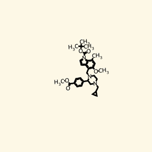 COC(=O)c1ccc(C2CN(CC3CC3)CCN2Cc2c(OC)cc(C)c3c2ccn3C(=O)OC(C)(C)C)cc1